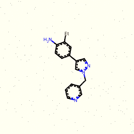 CCc1cc(-c2cnn(Cc3cccnc3)c2)ccc1N